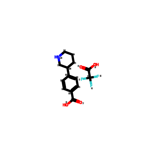 O=C(O)C(F)(F)F.O=C(O)c1ccc(C2CCCNC2)cc1